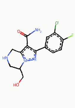 NC(=O)c1c(-c2ccc(F)c(Cl)c2)nn2c1CNCC2CO